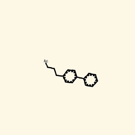 CC(=O)CCCc1ccc(-c2ccccc2)cc1